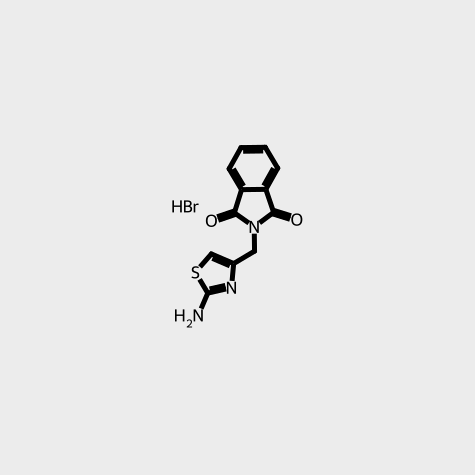 Br.Nc1nc(CN2C(=O)c3ccccc3C2=O)cs1